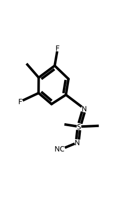 Cc1c(F)cc(N=S(C)(C)=NC#N)cc1F